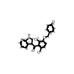 O=C(c1c(Cl)ccc(OCc2ccc(Cl)cc2)c1Cl)C1CNc2ncccc21